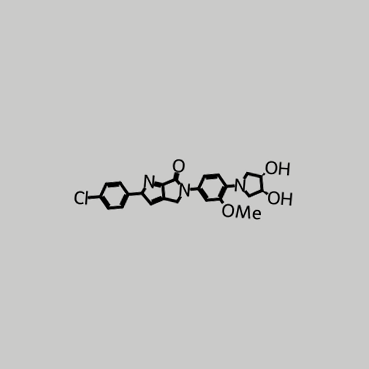 COc1cc(N2CC3=CC(c4ccc(Cl)cc4)N=C3C2=O)ccc1N1C[C@H](O)[C@@H](O)C1